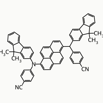 CC1(C)c2ccccc2-c2ccc(C(c3ccc(C#N)cc3)c3ccc4ccc5c(N(c6ccc(C#N)cc6)c6ccc7c(c6)C(C)(C)c6ccccc6-7)ccc6ccc3c4c65)cc21